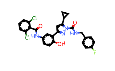 O=C(Nc1ccc(O)c(-c2cc(C3CC3)n(C(=O)NCc3ccc(F)cc3)n2)c1)c1c(Cl)cccc1Cl